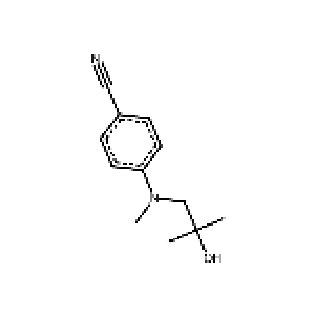 CN(CC(C)(C)O)c1ccc(C#N)cc1